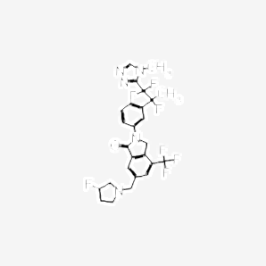 Cn1cnnc1C(F)(F)C(C)(F)c1cccc(N2Cc3c(cc(CN4CC[C@@H](F)C4)cc3C(F)(F)F)C2=O)c1